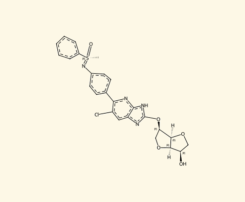 C[S@](=O)(=Nc1ccc(-c2nc3[nH]c(O[C@@H]4CO[C@H]5[C@@H]4OC[C@H]5O)nc3cc2Cl)cc1)c1ccccc1